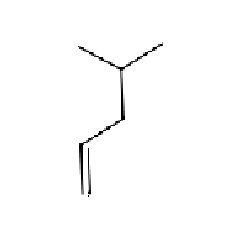 [C]=CCC(C)C